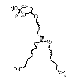 CCCCCCOC(CCCCOC1COP(=O)(O)O1)OCCCCCC